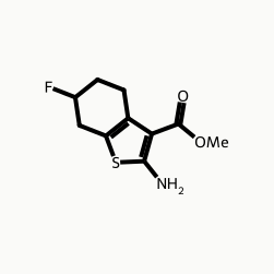 COC(=O)c1c(N)sc2c1CCC(F)C2